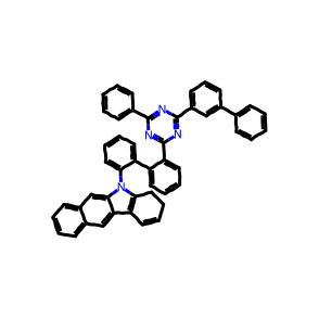 C1=Cc2c(n(-c3ccccc3-c3ccccc3-c3nc(-c4ccccc4)nc(-c4cccc(-c5ccccc5)c4)n3)c3cc4ccccc4cc23)CC1